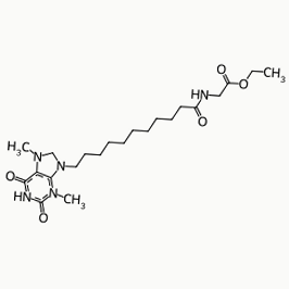 CCOC(=O)CNC(=O)CCCCCCCCCCN1CN(C)c2c1n(C)c(=O)[nH]c2=O